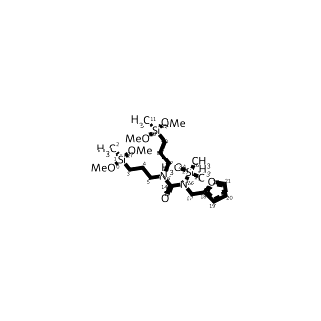 CO[Si](C)(CCCN(CCC[Si](C)(OC)OC)C(=O)N(Cc1ccco1)[Si](C)(C)C)OC